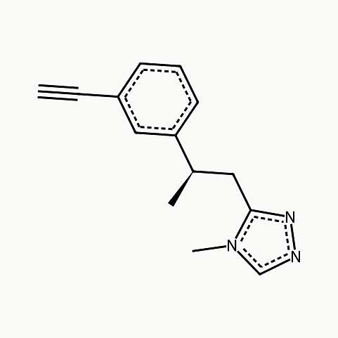 C#Cc1cccc([C@H](C)Cc2nncn2C)c1